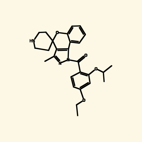 CCOc1ccc(C(=O)n2nc(C)c3c2-c2ccccc2OC32CCNCC2)c(OC(C)C)c1